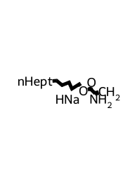 C=C(N)C(=O)OCCCCCCCCCCCC.[NaH]